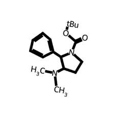 CN(C)C1CCN(C(=O)OC(C)(C)C)C1c1ccccc1